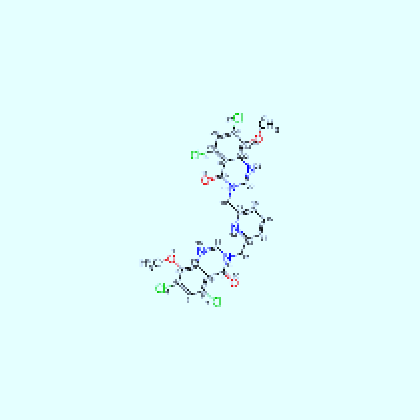 COc1c(Cl)cc(Cl)c2c(=O)n(Cc3cccc(Cn4cnc5c(OC)c(Cl)cc(Cl)c5c4=O)n3)cnc12